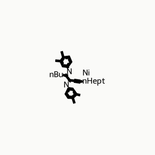 CCCCCCCC#CC(=N\c1ccc(C)c(C)c1)/C(CCCC)=N/c1ccc(C)c(C)c1.[Ni]